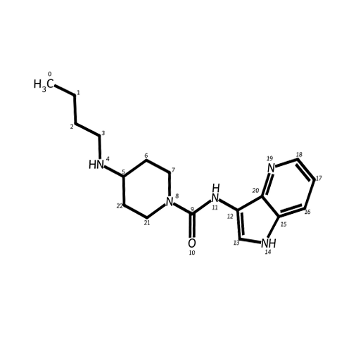 CCCCNC1CCN(C(=O)Nc2c[nH]c3cccnc23)CC1